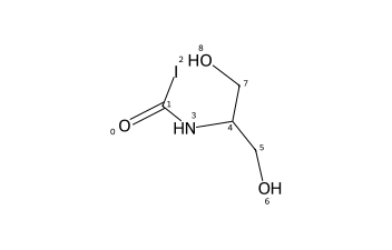 O=C(I)NC(CO)CO